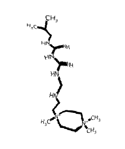 CC(C)CNC(=N)NC(=N)NCNCC[N+]1(C)CC[N+](C)(C)CC1